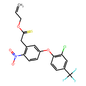 C=CCOC(=S)Cc1cc(Oc2ccc(C(F)(F)F)cc2Cl)ccc1[N+](=O)[O-]